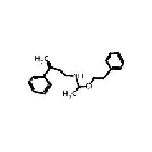 C=C(CCNC(C)OCCc1ccccc1)c1ccccc1